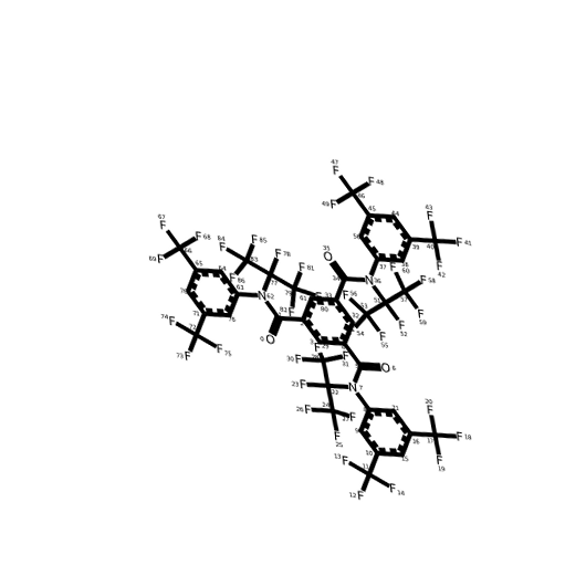 O=C(c1cc(C(=O)N(c2cc(C(F)(F)F)cc(C(F)(F)F)c2)C(F)(C(F)(F)F)C(F)(F)F)cc(C(=O)N(c2cc(C(F)(F)F)cc(C(F)(F)F)c2)C(F)(C(F)(F)F)C(F)(F)F)c1)N(c1cc(C(F)(F)F)cc(C(F)(F)F)c1)C(F)(C(F)(F)F)C(F)(F)F